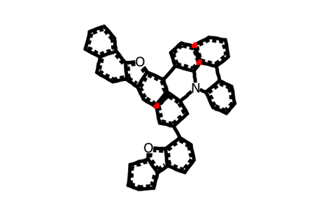 c1ccc(-c2ccccc2N(c2cccc(-c3cccc4c3oc3ccccc34)c2)c2ccccc2-c2cccc3c2oc2c4ccccc4ccc32)cc1